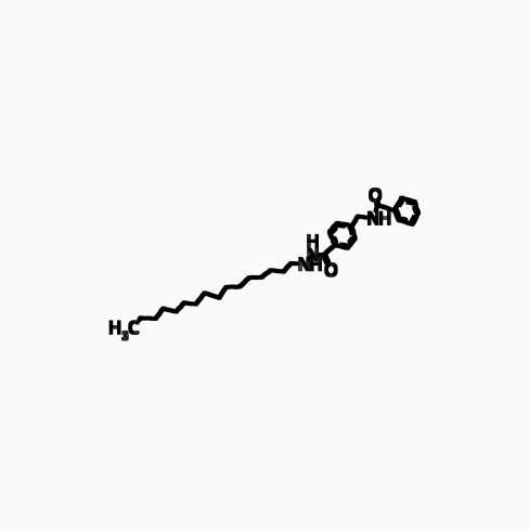 CCCCCCCCCCCCCCCCNNC(=O)c1ccc(CNC(=O)c2ccccc2)cc1